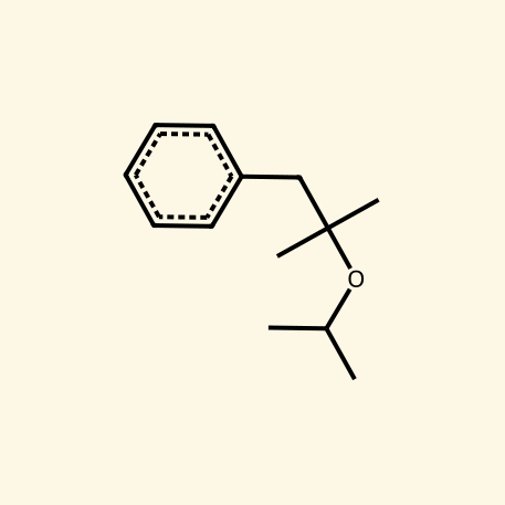 CC(C)OC(C)(C)Cc1ccccc1